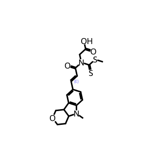 CSC(=S)N(CC(=O)O)C(=O)/C=C/c1ccc2c(c1)C1COCCC1N2C